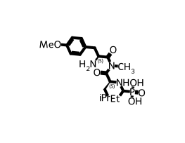 CCC(N[C@@H](CC(C)C)C(=O)N(C)C(=O)[C@@H](N)Cc1ccc(OC)cc1)P(=O)(O)O